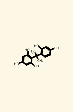 CC(C)(c1ccc(O)cc1O)c1c(O)cc(O)cc1O